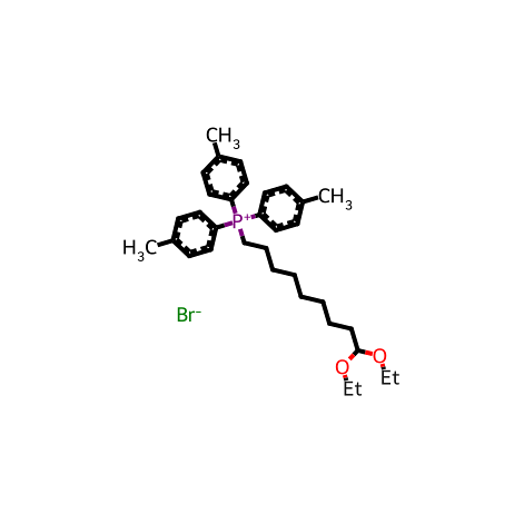 CCOC(CCCCCCCC[P+](c1ccc(C)cc1)(c1ccc(C)cc1)c1ccc(C)cc1)OCC.[Br-]